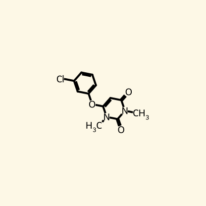 Cn1c(Oc2cccc(Cl)c2)cc(=O)n(C)c1=O